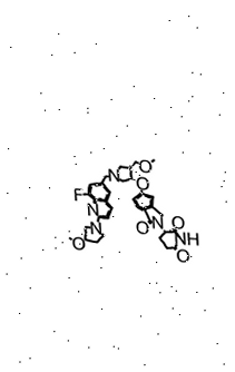 COC[C@@H]1CN(Cc2cc(F)c3nc(N4CC[C@@H](OC)C4)ccc3c2)C[C@H]1Oc1ccc2c(c1)CN([C@H]1CCC(=O)NC1=O)C2=O